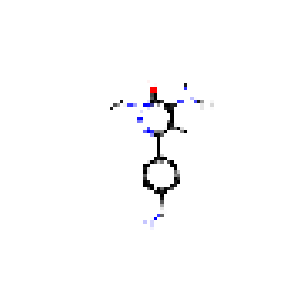 CCN(CC)c1c(C)c(-c2ccc(CN)cc2)nn(CC(C)C)c1=O